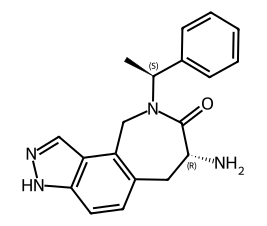 C[C@@H](c1ccccc1)N1Cc2c(ccc3[nH]ncc23)C[C@@H](N)C1=O